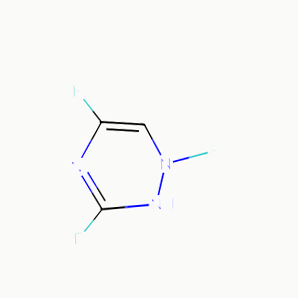 FC1=CN(F)NC(F)=N1